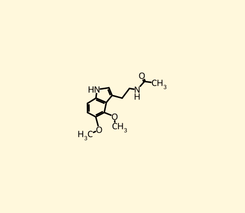 COc1ccc2[nH]cc(CCNC(C)=O)c2c1OC